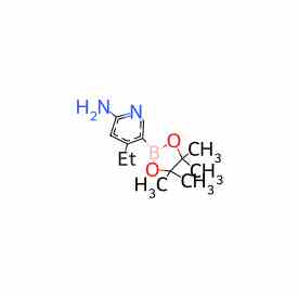 CCc1cc(N)ncc1B1OC(C)(C)C(C)(C)O1